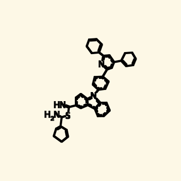 N=C(SC(N)C1=CCCC=C1)c1ccc2c(c1)c1ccccc1n2-c1ccc(-c2cc(C3=CC=CCC3)cc(C3=CC=CCC3)n2)cc1